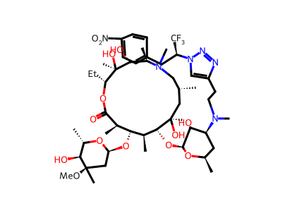 CC[C@H]1OC(=O)[C@H](C)[C@@H](O[C@H]2C[C@@](C)(OC)[C@@H](O)[C@H](C)O2)[C@H](C)[C@@H](O[C@@H]2O[C@H](C)C[C@H](N(C)CCc3cn([C@@H](Cc4ccc([N+](=O)[O-])cc4)C(F)(F)F)nn3)[C@H]2O)[C@](C)(O)C[C@@H](C)CN(C)[C@H](C)[C@@H](O)[C@]1(C)O